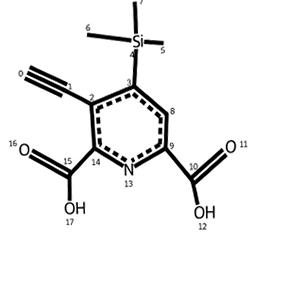 C#Cc1c([Si](C)(C)C)cc(C(=O)O)nc1C(=O)O